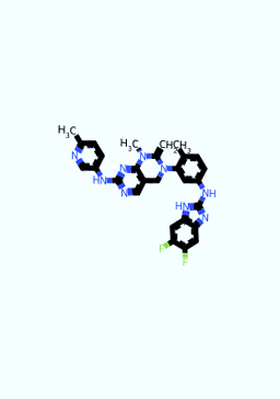 C=C1N(C)c2nc(Nc3ccc(C)nc3)ncc2CN1c1cc(Nc2nc3cc(F)c(F)cc3[nH]2)ccc1C